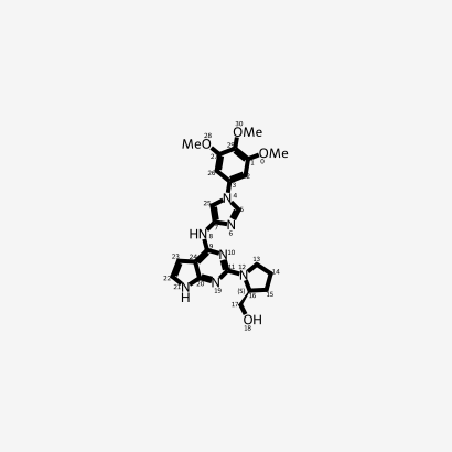 COc1cc(-n2cnc(Nc3nc(N4CCC[C@H]4CO)nc4[nH]ccc34)c2)cc(OC)c1OC